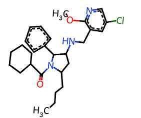 CCCCC1CC(NCc2cc(Cl)cnc2OC)C(c2ccccc2)N1C(=O)C1CCCCC1